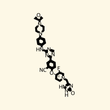 N#Cc1cc(-c2ncnc(Nc3ccc(N4CCN(C5COC5)CC4)cc3)n2)ccc1O[C@H]1CCN(Cc2nc(=O)[nH][nH]2)C[C@@H]1F